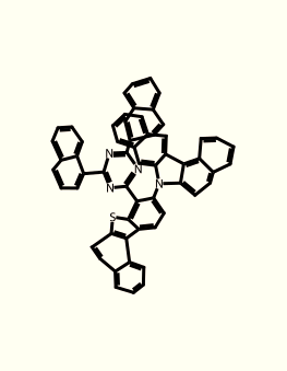 c1ccc2cc(-c3nc(-c4cccc5ccccc45)nc(-c4c(-n5c6cc7ccccc7cc6c6c7ccccc7ccc65)ccc5c4sc4ccc6ccccc6c45)n3)ccc2c1